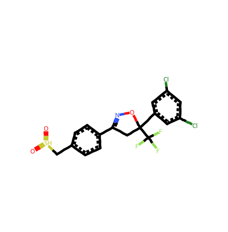 O=[SH](=O)Cc1ccc(C2=NOC(c3cc(Cl)cc(Cl)c3)(C(F)(F)F)C2)cc1